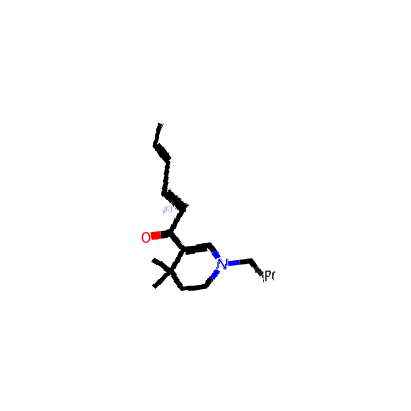 CC=C/C=C/C(=O)C1=CN(CC(C)C)CCC1(C)C